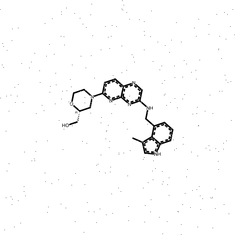 Cc1c[nH]c2cccc(CNc3cnc4ccc(N5CCO[C@@H](CO)C5)nc4n3)c12